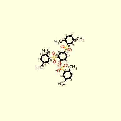 Cc1ccc(C)c(S(=O)(=O)Oc2ccc(S(=O)(=O)c3cc(C)ccc3C)cc2S(=O)(=O)c2cc(C)ccc2C)c1